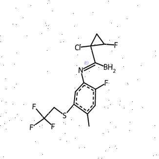 B/C(=N\c1cc(SCC(F)(F)F)c(C)cc1F)C1(Cl)CC1F